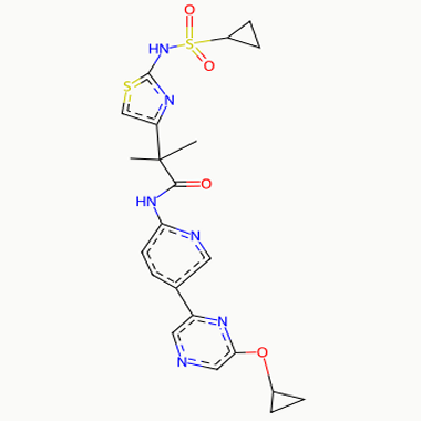 CC(C)(C(=O)Nc1ccc(-c2cncc(OC3CC3)n2)cn1)c1csc(NS(=O)(=O)C2CC2)n1